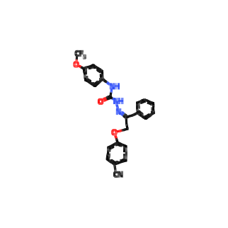 N#Cc1ccc(OCC(=NNC(=O)Nc2ccc(OC(F)(F)F)cc2)c2ccccc2)cc1